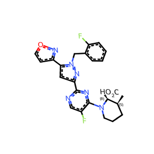 C[C@H]1CCCN(c2nc(-c3cc(-c4ccon4)n(Cc4ccccc4F)n3)ncc2F)[C@H]1C(=O)O